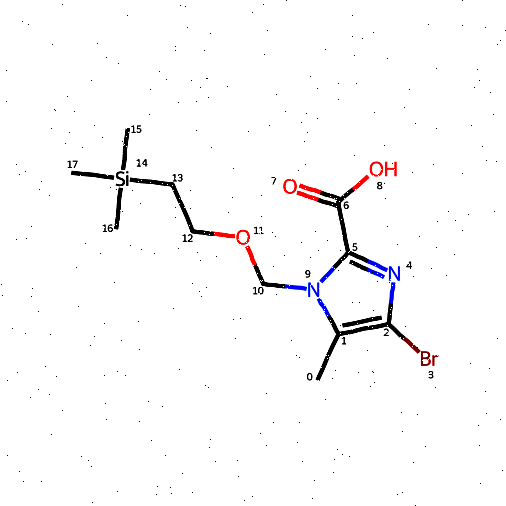 Cc1c(Br)nc(C(=O)O)n1COCC[Si](C)(C)C